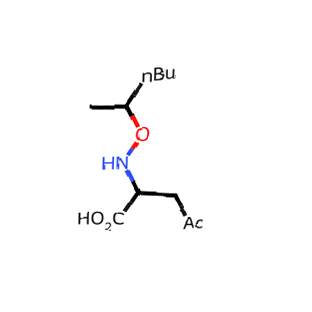 CCCCC(C)ONC(CC(C)=O)C(=O)O